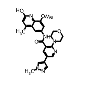 COc1cc(NC(=O)c2cc(-c3cnn(C)c3)cnc2N2CCOCC2)cc2c(C)cc(O)nc12